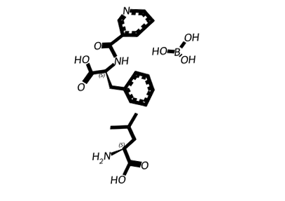 CC(C)C[C@H](N)C(=O)O.O=C(N[C@@H](Cc1ccccc1)C(=O)O)c1cccnc1.OB(O)O